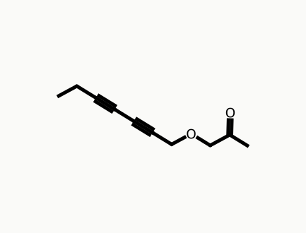 CCC#CC#CCOCC(C)=O